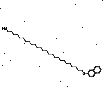 OCCCCCCCCCCCCCCCCCCCCCCCCCCOc1ccc2ccccc2c1